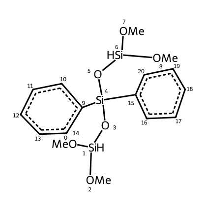 CO[SiH](OC)O[Si](O[SiH](OC)OC)(c1ccccc1)c1ccccc1